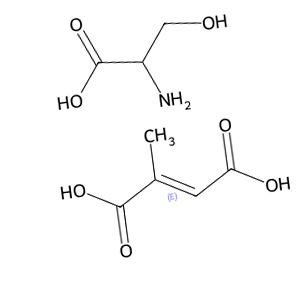 C/C(=C\C(=O)O)C(=O)O.NC(CO)C(=O)O